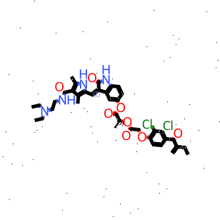 C=C(CC)C(=O)c1ccc(OCC(=O)O[C@@H](C)C(=O)Oc2ccc3c(c2)/C(=C/c2[nH]c(C)c(C(=O)NCCN(CC)CC)c2C)C(=O)N3)c(Cl)c1Cl